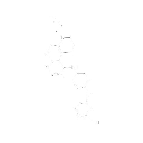 C=CCN1CCOc2c1ccc1ncnc(Nc3ccc(Oc4cccc(C)c4)cc3)c21